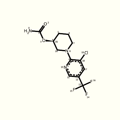 NC(=O)O[C@H]1CCCN(c2ncc(C(F)(F)F)cc2Cl)C1